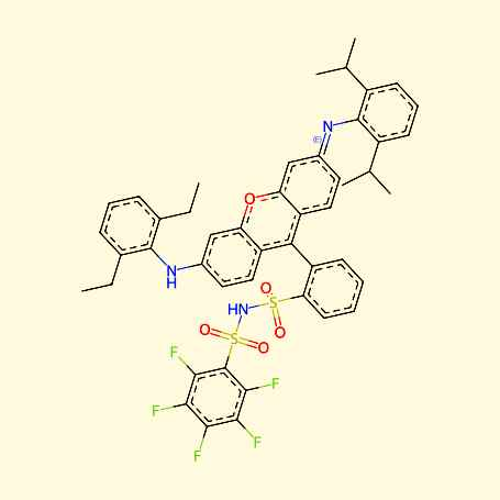 CCc1cccc(CC)c1Nc1ccc2c(-c3ccccc3S(=O)(=O)NS(=O)(=O)c3c(F)c(F)c(F)c(F)c3F)c3cc/c(=N\c4c(C(C)C)cccc4C(C)C)cc-3oc2c1